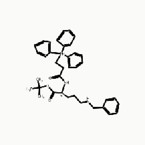 CC(C)(C)OC(=O)[C@H](CCCNCc1ccccc1)NC(=O)CC[PH](c1ccccc1)(c1ccccc1)c1ccccc1